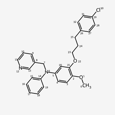 COc1ccc(N(Cc2cccnc2)c2ccccc2)cc1OCCCc1ccc(Cl)cc1